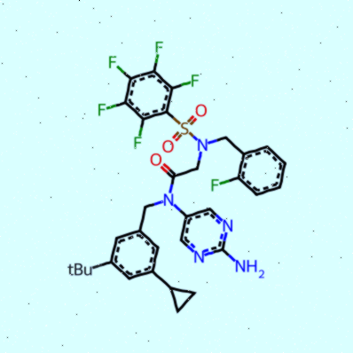 CC(C)(C)c1cc(CN(C(=O)CN(Cc2ccccc2F)S(=O)(=O)c2c(F)c(F)c(F)c(F)c2F)c2cnc(N)nc2)cc(C2CC2)c1